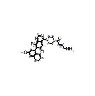 NC/C=C/C(=O)N1CCN(c2ncnc3c(F)c(-c4cc(O)cc5c4C=CCC5)c(Cl)cc23)CC1